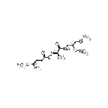 C/C(=N\OC(=O)CC[C@H](N)C(=O)O)C(=O)NC[C@@H](CO[N+](=O)[O-])O[N+](=O)[O-]